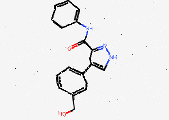 O=C(NC1=CC=CCC1)c1n[nH]cc1-c1cccc(CO)c1